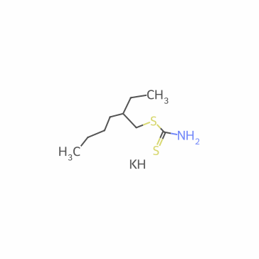 CCCCC(CC)CSC(N)=S.[KH]